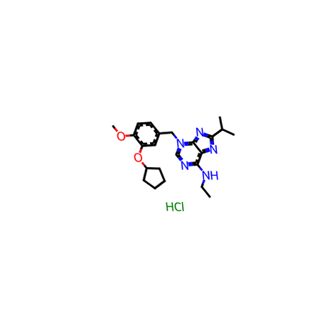 CCNc1ncn(Cc2ccc(OC)c(OC3CCCC3)c2)c2nc(C(C)C)nc1-2.Cl